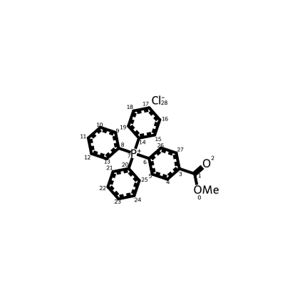 COC(=O)c1ccc([P+](c2ccccc2)(c2ccccc2)c2ccccc2)cc1.[Cl-]